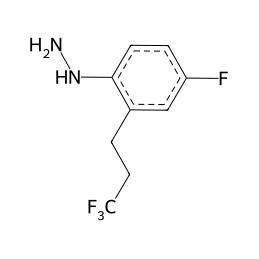 NNc1ccc(F)cc1CCC(F)(F)F